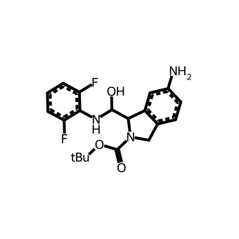 CC(C)(C)OC(=O)N1Cc2ccc(N)cc2C1C(O)Nc1c(F)cccc1F